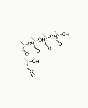 CC(O)C=O.CC(O)C=O.CC(O)C=O.CC(O)C=O.CC(O)C=O.[V]